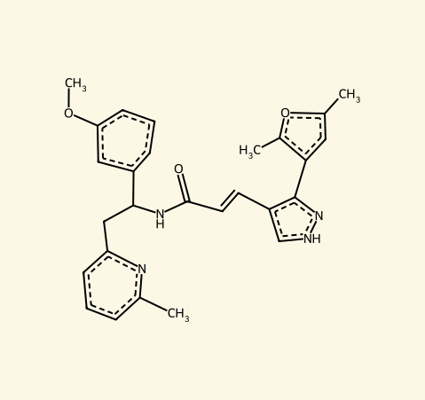 COc1cccc(C(Cc2cccc(C)n2)NC(=O)C=Cc2c[nH]nc2-c2cc(C)oc2C)c1